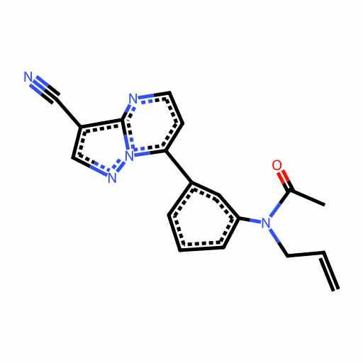 C=CCN(C(C)=O)c1cccc(-c2ccnc3c(C#N)cnn23)c1